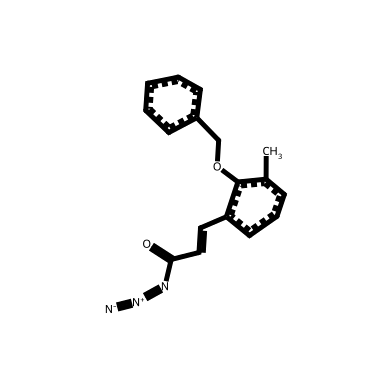 Cc1cccc(/C=C/C(=O)N=[N+]=[N-])c1OCc1ccccc1